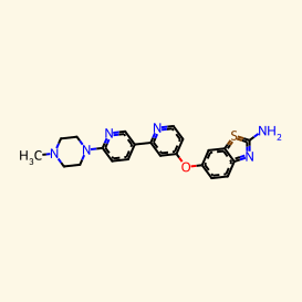 CN1CCN(c2ccc(-c3cc(Oc4ccc5nc(N)sc5c4)ccn3)cn2)CC1